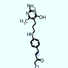 Cc1nc(N)nc(O)c1CCCNc1ccc(/C=C/C(=O)CCl)cc1